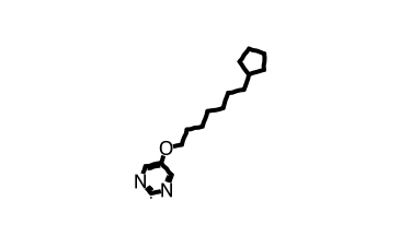 [c]1ncc(OCCCCCCCC2CCCC2)cn1